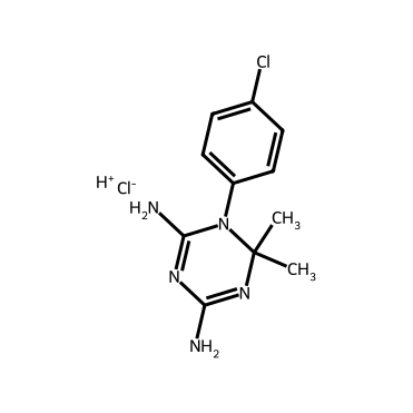 CC1(C)N=C(N)N=C(N)N1c1ccc(Cl)cc1.[Cl-].[H+]